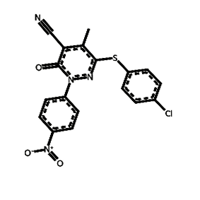 Cc1c(Sc2ccc(Cl)cc2)nn(-c2ccc([N+](=O)[O-])cc2)c(=O)c1C#N